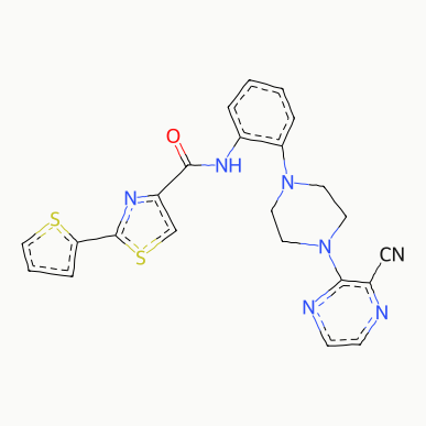 N#Cc1nccnc1N1CCN(c2ccccc2NC(=O)c2csc(-c3cccs3)n2)CC1